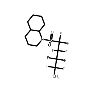 CC(F)(F)C(F)(F)C(F)(F)C(F)(F)S(=O)(=O)N1CCCC2CCCCC21